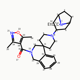 CCOC(=O)N1C2CCC1CC(N1CCC3(CC1)CN(C(=O)c1c(C)noc1C)Cc1ccccc13)C2